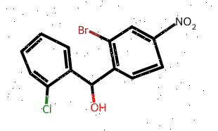 O=[N+]([O-])c1ccc(C(O)c2ccccc2Cl)c(Br)c1